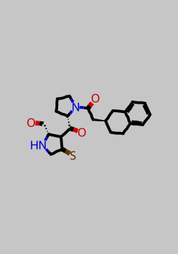 O=C[C@H]1NCC(=S)C1C(=O)[C@@H]1CCCN1C(=O)C[C@@H]1CCc2ccccc2C1